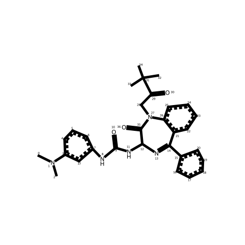 CN(C)c1cccc(NC(=O)NC2N=C(c3ccccc3)c3ccccc3N(CC(=O)C(C)(C)C)C2=O)c1